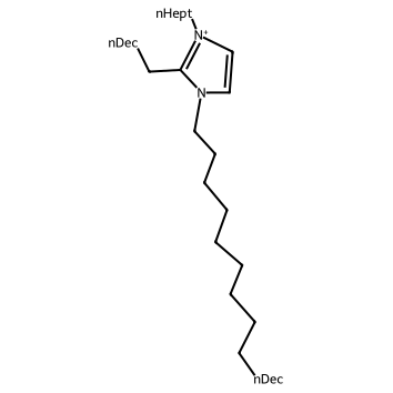 CCCCCCCCCCCCCCCCCCCn1cc[n+](CCCCCCC)c1CCCCCCCCCCC